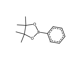 CC1(C)OB(c2[c]cccc2)OC1(C)C